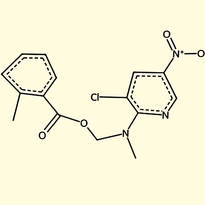 Cc1ccccc1C(=O)OCN(C)c1ncc([N+](=O)[O-])cc1Cl